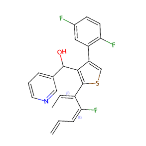 C=C/C=C(F)\C(=C/C)c1scc(-c2cc(F)ccc2F)c1C(O)c1cccnc1